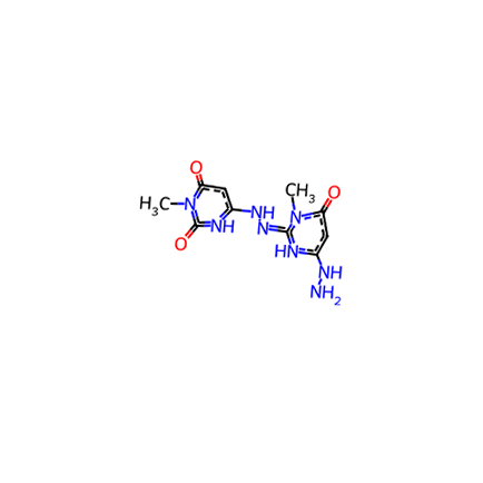 Cn1c(=O)cc(NN=c2[nH]c(NN)cc(=O)n2C)[nH]c1=O